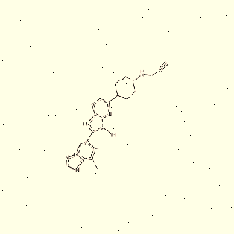 C#CCNC1CCC(c2ccc3[nH]c(-c4cn5ncnc5c(C)c4C)c(C(C)C)c3n2)CC1